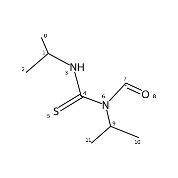 CC(C)NC(=S)N([C]=O)C(C)C